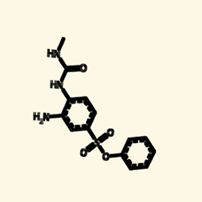 CNC(=O)Nc1ccc(S(=O)(=O)Oc2ccccc2)cc1N